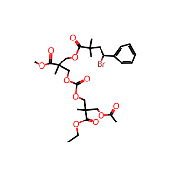 CCOC(=O)C(C)(COC(C)=O)COC(=O)OCC(C)(COC(=O)C(C)(C)CC(Br)c1ccccc1)C(=O)OC